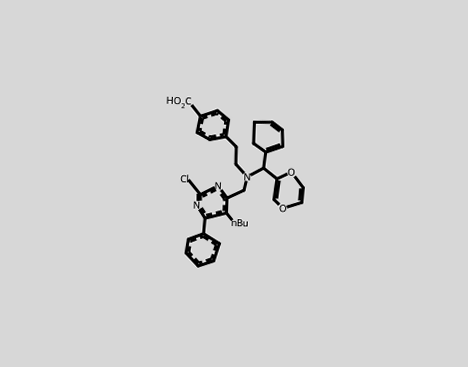 CCCCc1c(CN(CCc2ccc(C(=O)O)cc2)C(C2=CC=CCC2)C2=COC=CO2)nc(Cl)nc1-c1ccccc1